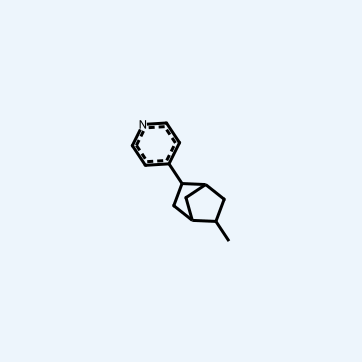 CC1CC2CC1CC2c1ccncc1